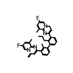 C=C/C=C(\N=c1\c(C)cc(F)cn1C)c1cccc(-c2cccc(C3=CCN4C=C(F)C=C(C)C4=N3)c2CCC)c1C